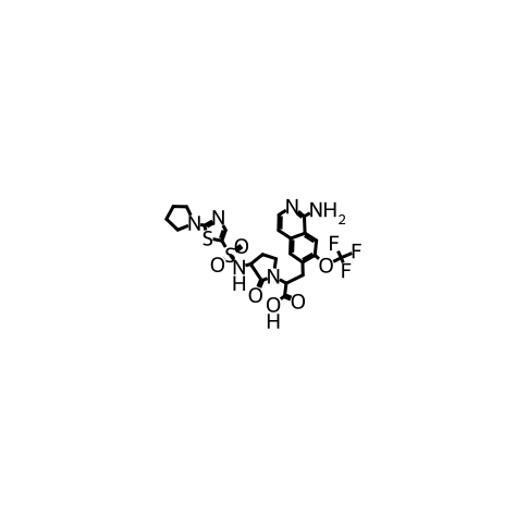 Nc1nccc2cc(CC(C(=O)O)N3CCC(NS(=O)(=O)c4cnc(N5CCCC5)s4)C3=O)c(OC(F)(F)F)cc12